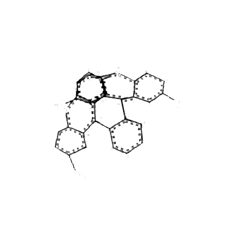 Cc1ccc2nc3ccc(C)cc3c(-c3ccccc3-c3c4cc(C)ccc4nc4ccc(C)cc34)c2c1